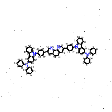 c1ccc(N(c2ccccc2)c2ccc3c(c2)c2ccccc2n3-c2ccc(-c3cnc4c(ccc5cc(-c6ccc(-n7c8ccccc8c8cc(N(c9ccccc9)c9ccccc9)ccc87)cc6)cnc54)c3)cc2)cc1